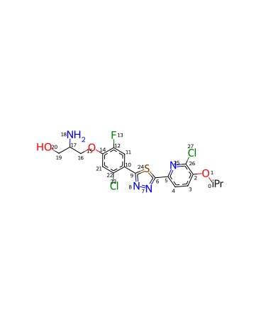 CC(C)Oc1ccc(-c2nnc(-c3cc(F)c(OCC(N)CO)cc3Cl)s2)nc1Cl